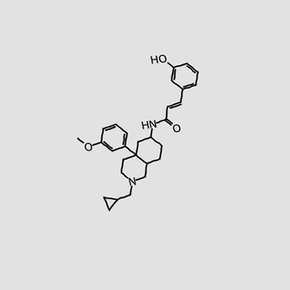 COc1cccc(C23CCN(CC4CC4)CC2CCC(NC(=O)/C=C/c2cccc(O)c2)C3)c1